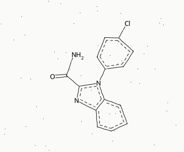 NC(=O)c1nc2ccccc2n1-c1ccc(Cl)cc1